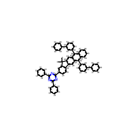 CC1(C)c2cc(-c3nc(-c4ccccc4)nc(-c4ccccc4)n3)ccc2-c2cc3c(-c4cccc(-c5ccccc5)c4)c4ccccc4c(-c4cccc(-c5ccccc5)c4)c3cc21